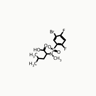 CC(C)CC(C(=O)O)N(C)S(=O)(=O)c1cc(Br)c(F)cc1F